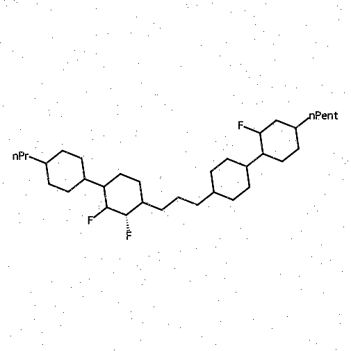 CCCCCC1CCC(C2CCC(CCCC3CCC(C4CCC(CCC)CC4)C(F)[C@H]3F)CC2)C(F)C1